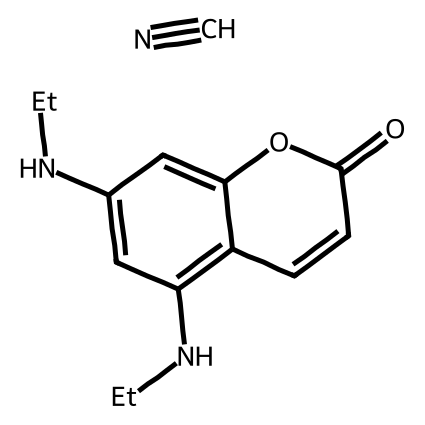 C#N.CCNc1cc(NCC)c2ccc(=O)oc2c1